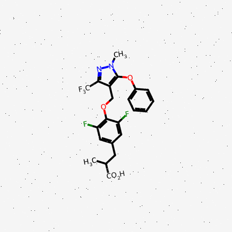 CC(Cc1cc(F)c(OCc2c(C(F)(F)F)nn(C)c2Oc2ccccc2)c(F)c1)C(=O)O